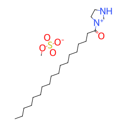 CCCCCCCCCCCCCCCCCC(=O)[N+]1=CNCC1.COS(=O)(=O)[O-]